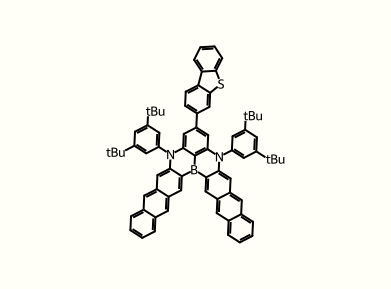 CC(C)(C)c1cc(N2c3cc4cc5ccccc5cc4cc3B3c4cc5cc6ccccc6cc5cc4N(c4cc(C(C)(C)C)cc(C(C)(C)C)c4)c4cc(-c5ccc6c(c5)sc5ccccc56)cc2c43)cc(C(C)(C)C)c1